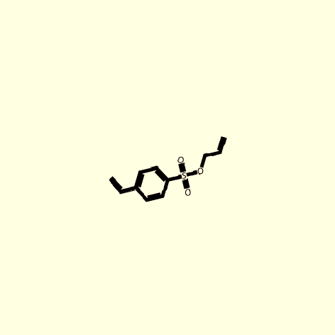 C=CCOS(=O)(=O)c1ccc(C=C)cc1